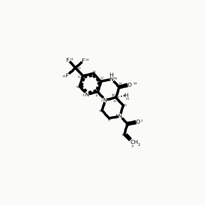 C=CC(=O)N1CCN2c3ncc(C(F)(F)F)cc3NC(=O)[C@H]2C1